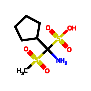 CS(=O)(=O)C(N)(C1CCCC1)S(=O)(=O)O